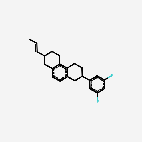 C/C=C/C1CCc2c(ccc3c2CCC(c2cc(F)cc(F)c2)C3)C1